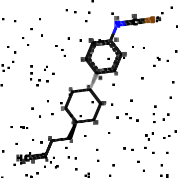 C=CCC[C@H]1CC[C@H](c2ccc(N=C=S)cc2)CC1